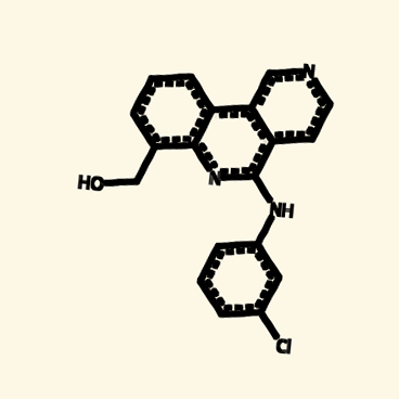 OCc1cccc2c1nc(Nc1cccc(Cl)c1)c1ccncc12